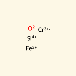 [Cr+3].[Fe+2].[O-2].[Si+4]